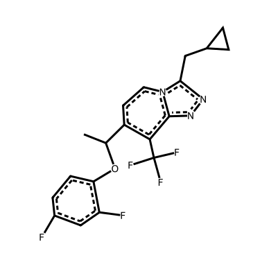 CC(Oc1ccc(F)cc1F)c1ccn2c(CC3CC3)nnc2c1C(F)(F)F